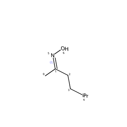 C/C(CCC(C)C)=N/O